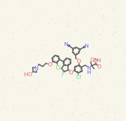 CC(CO)(NCc1cc(Cl)c(O[C@@H]2c3cccc(-c4cccc(OCCCN5CC(O)C5)c4Cl)c3C[C@@H]2F)cc1OCc1cc(C#N)cc(C#N)c1)C(=O)O